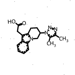 Cc1nnn(C2CCc3c(CC(=O)O)c4ccccc4n3C2)c1C